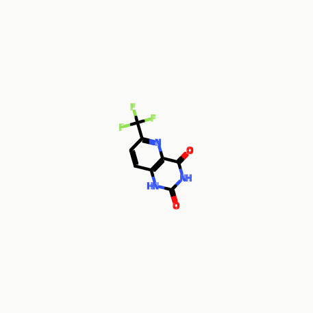 O=c1[nH]c(=O)c2nc(C(F)(F)F)ccc2[nH]1